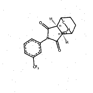 O=C1[C@@H]2C3CCC(CN3O)[C@@H]2C(=O)N1c1cccc(C(F)(F)F)c1